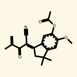 C=C(C)C(=O)/C(C#N)=C1\CC(C)(C)c2cc(OC)c(OC(C)=O)cc21